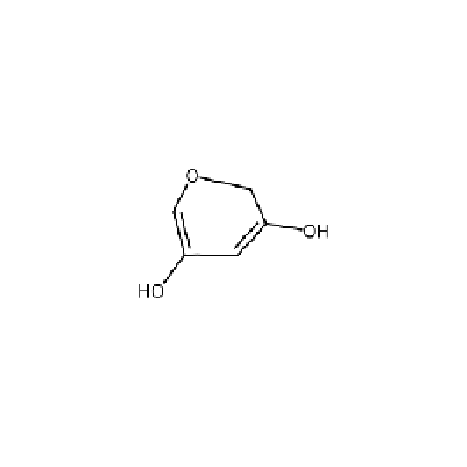 OC1=COCC(O)=C1